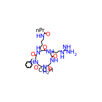 CCCC(=O)NCCCC[C@@H]1NC(=O)[C@@H](Cc2ccccc2)NC(=O)C(C(=O)O)NC(=O)CNC(=O)[C@H](CCCNC(=N)N)NC1=O